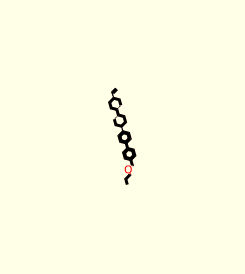 C=C[C@H]1CC[C@H]([C@H]2CC[C@H](c3ccc(-c4ccc(COCCC)cc4)cc3)CC2)CC1